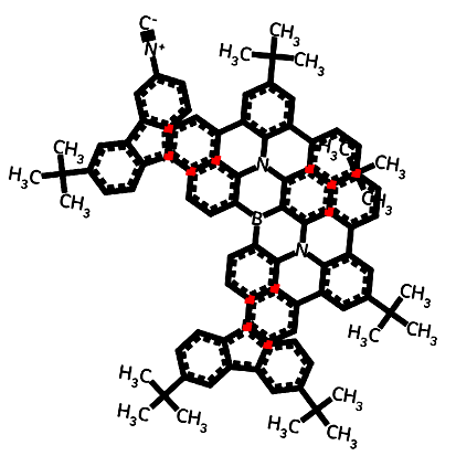 [C-]#[N+]c1ccc2c(c1)c1cc(C(C)(C)C)ccc1n2-c1ccc2c(c1)N(c1c(-c3ccccc3)cc(C(C)(C)C)cc1-c1ccccc1)c1cc(C(C)(C)C)cc3c1B2c1ccc(-n2c4ccc(C(C)(C)C)cc4c4cc(C(C)(C)C)ccc42)cc1N3c1c(-c2ccccc2)cc(C(C)(C)C)cc1-c1ccccc1